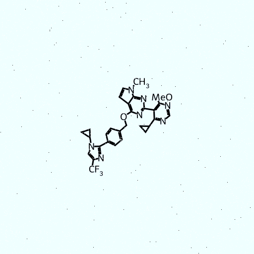 COc1ncnc(C2CC2)c1-c1nc(OCc2ccc(-c3nc(C(F)(F)F)cn3C3CC3)cc2)c2ccn(C)c2n1